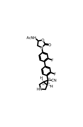 CC(=O)NC1CN(c2ccc(-c3ccc([C@@]4(C#N)[C@@H]5CNC[C@@H]54)c(F)c3)c(F)c2)C(=O)O1